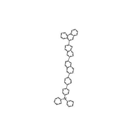 c1ccc(N(c2ccccc2)c2ccc(-c3ccc(-c4ccc5cc(-c6ccc7cc(-c8cc9ccccc9c9ccccc89)ccc7c6)ccc5c4)cc3)cc2)cc1